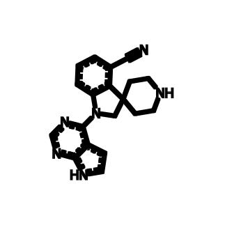 N#Cc1cccc2c1C1(CCNCC1)CN2c1ncnc2[nH]ccc12